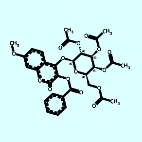 COc1ccc2c(O[C@@H]3O[C@H](COC(C)=O)[C@H](OC(C)=O)[C@H](OC(C)=O)[C@H]3OC(C)=O)c(OC(=O)c3ccccc3)c(=O)oc2c1